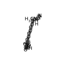 Cc1cnc(Nc2ccc3cnccc3c2)cc1OCCOCCOCCOCCOCCOCCOc1ccc2c(c1)C(=O)N(C1CCC(=O)NC1=O)C2=O